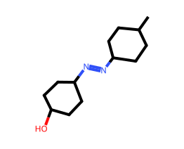 CC1CCC(/N=N/C2CCC(O)CC2)CC1